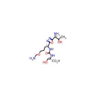 C[C@@H](O)[C@H](N)c1nnc([C@H](CCCOCN)NC(=O)N[C@@H](CO)C(=O)O)o1